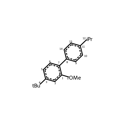 COc1cc(C(C)(C)C)ccc1-c1ccc(C(C)C)cc1